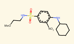 COCCNS(=O)(=O)c1ccc(NC2CCCCC2)c([N+](=O)[O-])c1